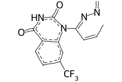 C=N/N=C(\C=C/C)n1c(=O)[nH]c(=O)c2ccc(C(F)(F)F)cc21